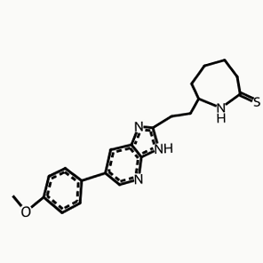 COc1ccc(-c2cnc3[nH]c(CCC4CCCCC(=S)N4)nc3c2)cc1